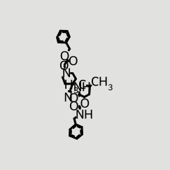 CC(C)CC(OC(=O)NCc1ccccc1)C(=O)NC1(C#N)CCN(OC(=O)OCc2ccccc2)CC1